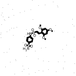 COc1cc(OC)c(C=CS(=O)(=O)Nc2ccc(S(N)(=O)=O)cc2)c(OC)c1